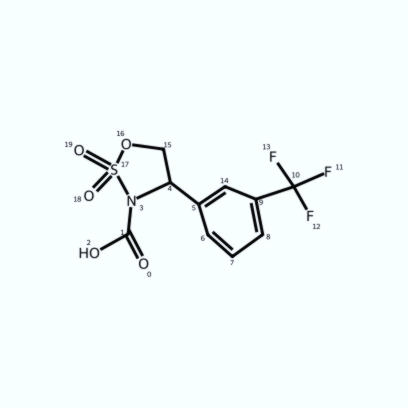 O=C(O)N1C(c2cccc(C(F)(F)F)c2)COS1(=O)=O